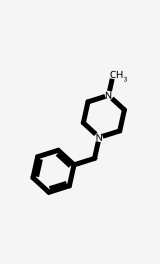 CN1CCN([CH]c2ccccc2)CC1